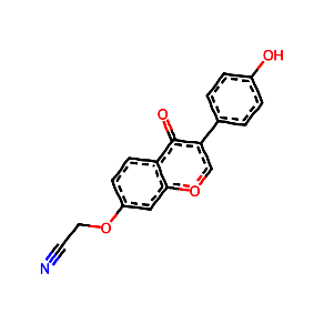 N#CCOc1ccc2c(=O)c(-c3ccc(O)cc3)coc2c1